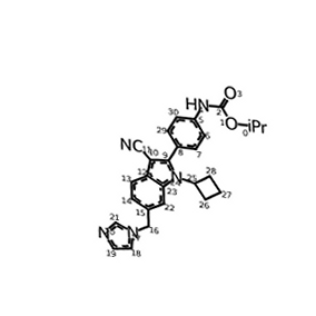 CC(C)OC(=O)Nc1ccc(-c2c(C#N)c3ccc(Cn4ccnc4)cc3n2C2CCC2)cc1